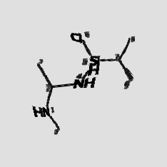 CNC(C)N[SiH](Cl)C(C)C